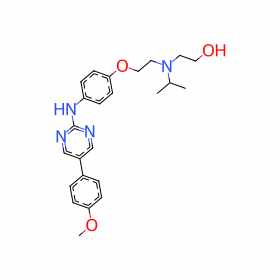 COc1ccc(-c2cnc(Nc3ccc(OCCN(CCO)C(C)C)cc3)nc2)cc1